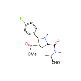 COC(=O)C1CC(C(=O)N(C)[C@H](C)C=O)N(C)C1c1ccc(F)cc1